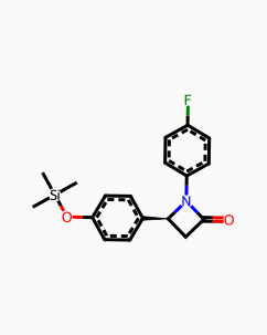 C[Si](C)(C)Oc1ccc([C@@H]2CC(=O)N2c2ccc(F)cc2)cc1